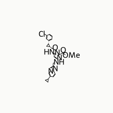 COC(=O)c1nc(NCc2cn3cc(C4CC4)ccc3n2)cc(NC(=O)[C@H]2C[C@@H]2c2cccc(Cl)c2)n1